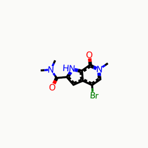 CN(C)C(=O)c1cc2c(Br)cn(C)c(=O)c2[nH]1